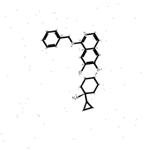 N[C@]1(C2CC2)CC[C@@H](Oc2cc3ccnc(OCc4ccccc4)c3cc2Cl)CC1